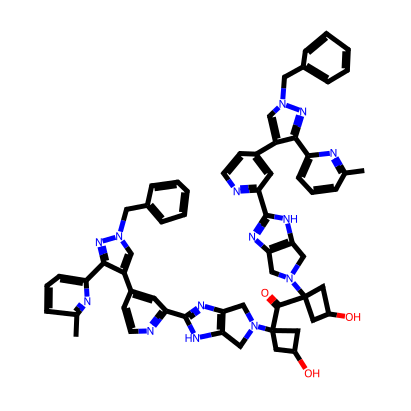 Cc1cccc(-c2nn(Cc3ccccc3)cc2-c2ccnc(-c3nc4c([nH]3)CN(C3(C(=O)C5(N6Cc7nc(-c8cc(-c9cn(Cc%10ccccc%10)nc9-c9cccc(C)n9)ccn8)[nH]c7C6)CC(O)C5)CC(O)C3)C4)c2)n1